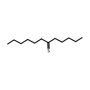 CCCCC[CH]C(=S)CCCCC